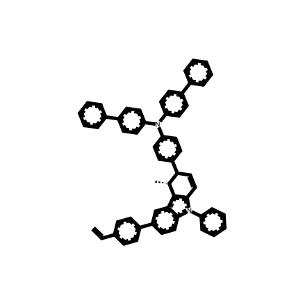 C=Cc1ccc(-c2ccc3c(c2)c2c(n3-c3ccccc3)C=CC(c3ccc(N(c4ccc(-c5ccccc5)cc4)c4ccc(-c5ccccc5)cc4)cc3)[C@H]2C)cc1